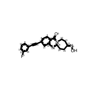 O=c1c2ccc(C#Cc3cccc(F)c3)cc2nc2n1CC/C(=N/O)CC2